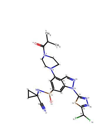 CC(C)C(=O)N1CCN(c2cc([S+]([O-])NC3(C#N)CC3)cc3c2cnn3-c2nnc(C(F)F)s2)CC1